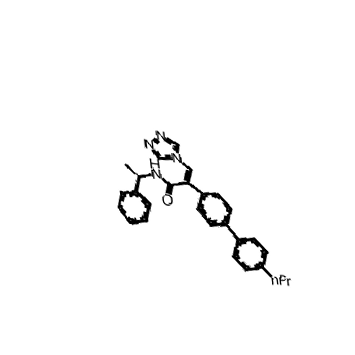 CCCc1ccc(-c2ccc(C(=Cn3cnnc3)C(=O)N[C@H](C)c3ccccc3)cc2)cc1